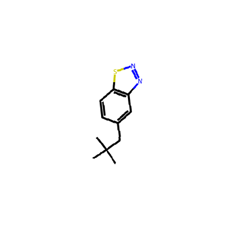 CC(C)(C)Cc1ccc2snnc2c1